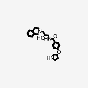 O=C(NCC(O)CN1CCc2ccccc2C1)c1ccc(OC2CCNC2)cc1